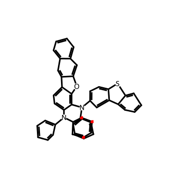 c1ccc(N(c2ccccc2)c2ccc3c(oc4cc5ccccc5cc43)c2N(c2ccccc2)c2ccc3sc4ccccc4c3c2)cc1